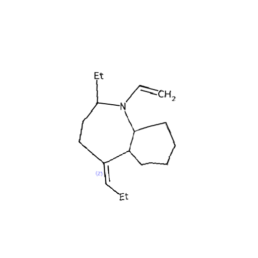 C=CN1C(CC)CC/C(=C/CC)C2CCCCC21